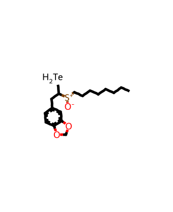 CCCCCCCC[S+]([O-])C(C)Cc1ccc2c(c1)OCO2.[TeH2]